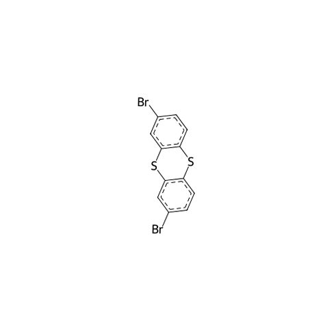 Brc1ccc2c(c1)Sc1cc(Br)ccc1S2